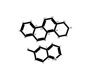 Cc1ccc2ncccc2c1.c1ccc2c(c1)ccc1c3c(ccc12)CCCC3